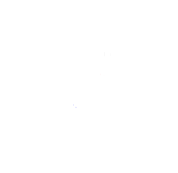 CC(C)CCC1CCCc2c([C@@H](CCCOCc3ccccc3)CC(=O)OC(C)(C)C)noc21